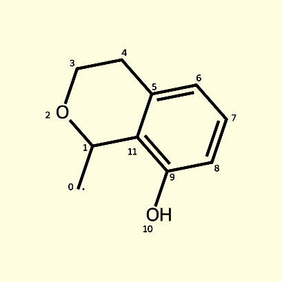 [CH2]C1OCCc2cccc(O)c21